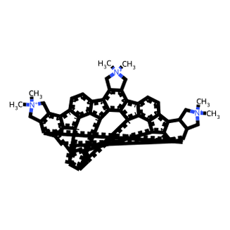 C[N+]1(C)Cc2c(c3c4ccc5c6c7c(c8c9ccc%10c%11c%12c%13c(c2c2c3c3c4c5c4c6c8c5c9c%10c%12c6c(c%132)c3c4c56)C2C[N+](C)(C)CC%112)C[N+](C)(C)C7)C1